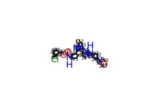 O=C(Nc1cccc(-c2nc3sccn3c2-c2ccnc(Nc3ccc(N4CCOCC4)cc3)n2)c1)OCc1cccc(Cl)c1